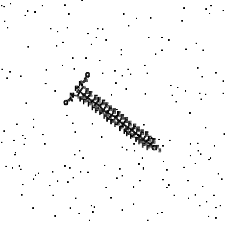 O=C=NCC(F)(CN=C=O)C(F)(F)C(F)(F)C(F)(F)C(F)(F)C(F)(F)C(F)(F)C(F)(F)C(F)(F)C(F)(F)C(F)(F)C(F)(F)C(F)(F)C(F)(F)C(F)(F)C(F)(F)C(F)(F)C(F)(F)C(F)(F)C(F)(F)F